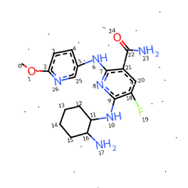 COc1ccc(Nc2nc(NC3CCCCC3N)c(F)cc2C(N)=O)cn1